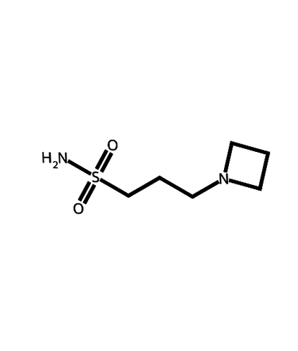 NS(=O)(=O)CCCN1CCC1